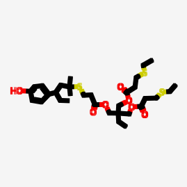 CCSCCC(=O)OCC(CC)(COC(=O)CCSCC)COC(=O)CCSC(C)(C)CC(CC)c1ccc(O)cc1